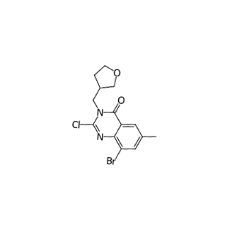 Cc1cc(Br)c2nc(Cl)n(CC3CCOC3)c(=O)c2c1